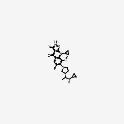 COc1c(N2CC[C@@H](C(C)N(C)C3CC3)C2)c(F)cc2c(=O)c3c(=O)[nH]sc3n(C3CC3)c12